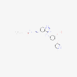 COCC(=O)NC/C=C/c1ccc2ncnc(Nc3ccc(Oc4ccc(C)nc4)c(CO)c3)c2c1